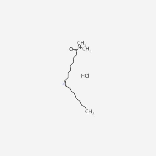 CCCCCCCC/C=C\CCCCCCCC(=O)N(C)C.Cl